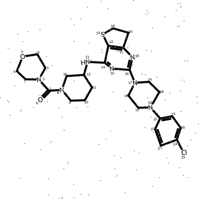 O=C(N1CCOCC1)N1CCCC(Nc2nc(N3CCN(c4ccc(Cl)cc4)CC3)nc3c2SCC3)C1